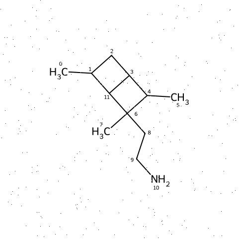 CC1CC2C(C)C(C)(CCN)C12